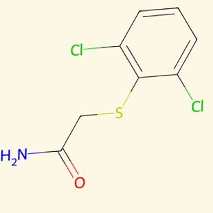 NC(=O)CSc1c(Cl)cccc1Cl